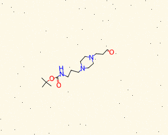 CC(C)(C)OC(=O)NCCCN1CCN(CCC=O)CC1